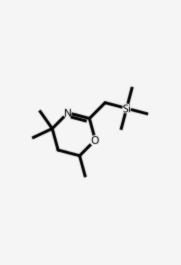 CC1CC(C)(C)N=C(C[Si](C)(C)C)O1